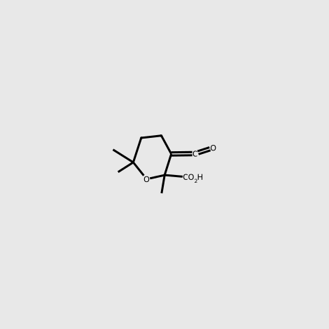 CC1(C)CCC(=C=O)C(C)(C(=O)O)O1